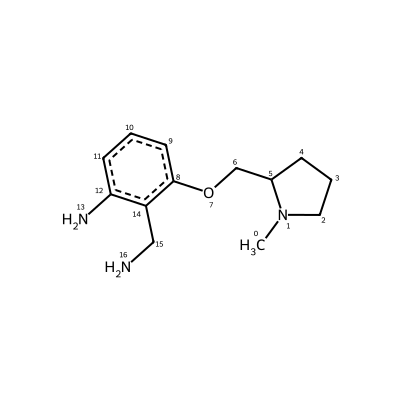 CN1CCCC1COc1cccc(N)c1CN